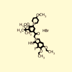 Br.CCOc1cc2c(c(F)c1OCC)C(=N)N(CC(=O)c1cc(N3CCC(OC)CC3)c(OC)c(C(C)(C)C)c1)C2